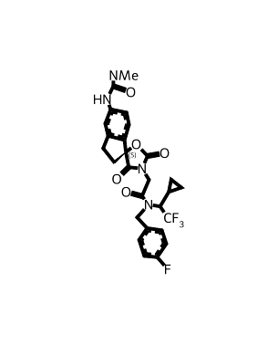 CNC(=O)Nc1ccc2c(c1)CC[C@]21OC(=O)N(CC(=O)N(Cc2ccc(F)cc2)C(C2CC2)C(F)(F)F)C1=O